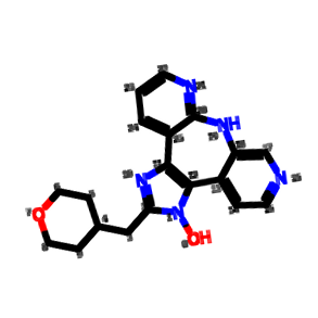 On1c(CC2CCOCC2)nc2c1-c1ccncc1Nc1ncccc1-2